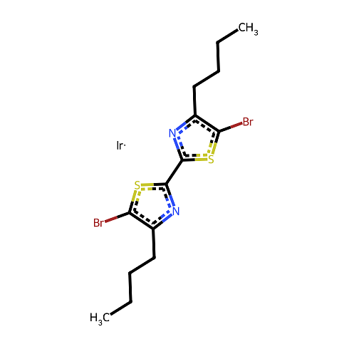 CCCCc1nc(-c2nc(CCCC)c(Br)s2)sc1Br.[Ir]